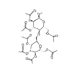 CO[C@H]1O[C@H](COC(C)=O)[C@@H](OC[C@H]2O[C@H](COC(C)=O)[C@@H](OC(C)=O)[C@H](OC(C)=O)[C@@H]2OC(C)=O)[C@H](OC(C)=O)[C@H]1OC(C)=O